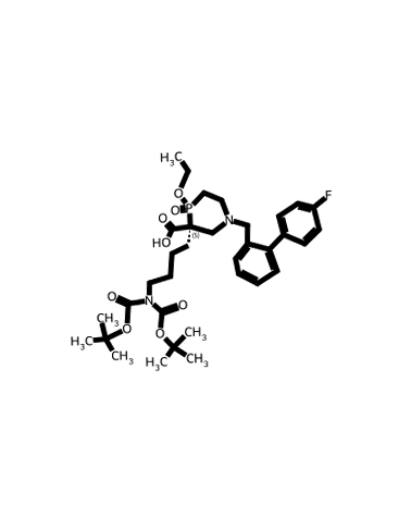 CCOP1(=O)CCN(Cc2ccccc2-c2ccc(F)cc2)C[C@@]1(CCCCN(C(=O)OC(C)(C)C)C(=O)OC(C)(C)C)C(=O)O